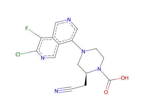 N#CC[C@H]1CN(c2cncc3c(F)c(Cl)ncc23)CCN1C(=O)O